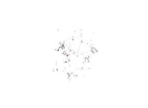 CC(=O)N(C(C)=O)[C@](C(C)=O)(C(=O)O)C(C(C)=O)(C(C)=O)C(C(C)=O)(C(C)=O)C(C(C)=O)(C(C)=O)C(N)(C(C)=O)C(C)=O